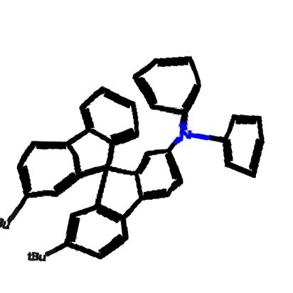 CC(C)(C)c1ccc2c(c1)C1(c3ccccc3-2)c2cc(N(c3ccccc3)c3ccccc3)ccc2-c2ccc(C(C)(C)C)cc21